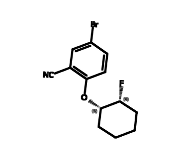 N#Cc1cc(Br)ccc1O[C@H]1CCCC[C@H]1F